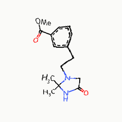 COC(=O)c1cccc(CCN2CC(=O)NC2(C)C)c1